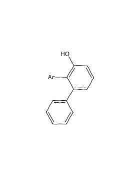 CC(=O)c1c(O)cccc1-c1ccccc1